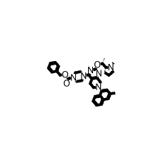 Cc1cc(N2CCc3c(nc(O[C@H](C)[C@H]4CCCN4C)nc3N3CCN(C(=O)OCc4ccccc4)CC3)C2)c2ccccc2c1